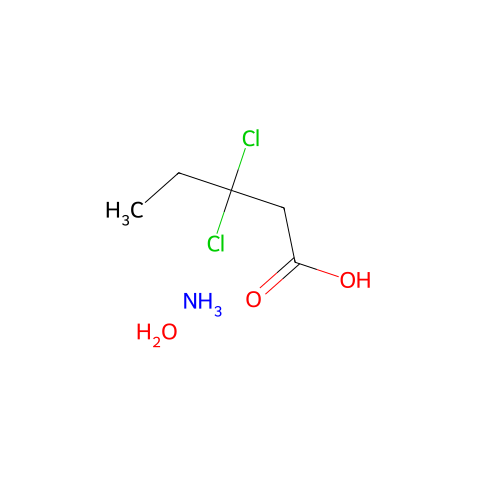 CCC(Cl)(Cl)CC(=O)O.N.O